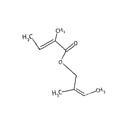 CC=C(C)COC(=O)C(C)=CC